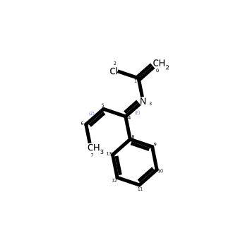 C=C(Cl)/N=C(\C=C/C)c1ccccc1